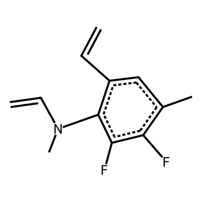 C=Cc1cc(C)c(F)c(F)c1N(C)C=C